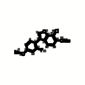 CCOc1ccc(-c2noc3c(Cl)c(OC)ccc23)c(F)c1